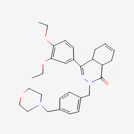 CCOc1ccc(C2=NN(Cc3ccc(CN4CCOCC4)cc3)C(=O)[C@@H]3CC=CC[C@H]23)cc1OCC